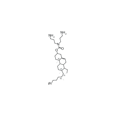 CC(C)CCC[C@@H](C)[C@H]1CCC2C3CC=C4CC(OC(=O)N(CCCN)CCCN)CC[C@]4(C)C3CC[C@@]21C